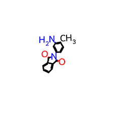 Cc1ccc(N2C(=O)c3ccccc3C2=O)cc1N